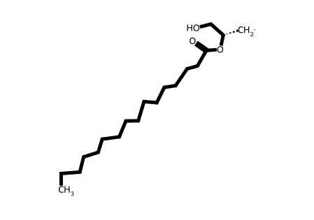 [CH2][C@@H](CO)OC(=O)CCCCCCCCCCCCCCC